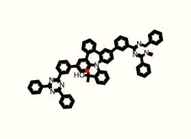 C=N/C(=N\C(=N/Cc1ccccc1)c1cccc(-c2ccc3c(c2)-c2ccccc2-c2cc(-c4cccc(-c5nc(-c6ccccc6)nc(-c6ccccc6)n5)c4)ccc2N3c2ccccc2C(C)(C)O)c1)c1ccccc1